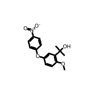 COc1ccc(Oc2ccc([N+](=O)[O-])cc2)cc1C(C)(C)O